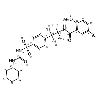 [2H]C([2H])(NC(=O)c1cc(Cl)ccc1OC)C([2H])([2H])c1ccc(S(=O)(=O)NC(=O)NC2CCCCC2)cc1